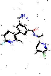 Cc1cc(C(C)NC(=O)c2cc(CN)cc(-c3ccc(F)nc3C)c2)ncc1Cl